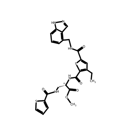 CCc1cc(C(=O)NCc2cccc3[nH]ncc23)sc1C(=O)N[C@@H](CNC(=O)c1cccs1)C(=O)OC